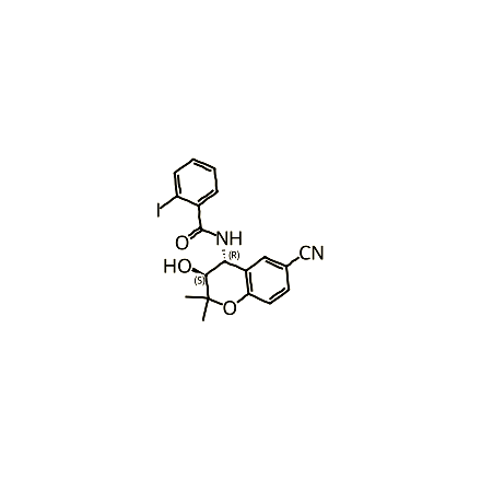 CC1(C)Oc2ccc(C#N)cc2[C@@H](NC(=O)c2ccccc2I)[C@@H]1O